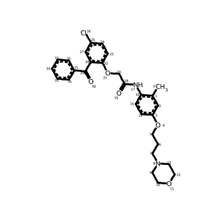 Cc1cc(OCCCN2CCOCC2)ccc1NC(=O)COc1ccc(Cl)cc1C(=O)c1ccccc1